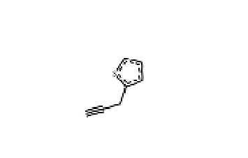 [C]#CCc1cccs1